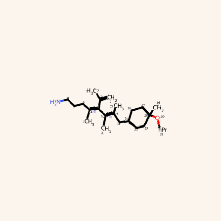 C=C(C)C(=C(/C)CCCN)/C(C)=C(\C)CC1CCC(C)(OCCC)CC1